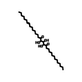 CCCCCCC=CCCCCCCCC(=O)C(O)C(O)C(O)C(=O)CCCCCCCCCCCCC